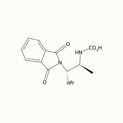 CCC[C@@H]([C@H](C)NC(=O)O)N1C(=O)c2ccccc2C1=O